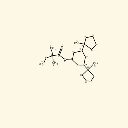 CCC(C)(C)C(=O)OC1CC(C2(O)CCCC2)CC(C2(O)CCCC2)C1